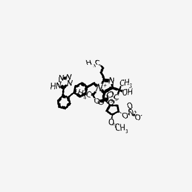 CCCC1=NC(C(C)(C)O)=C(C(=O)[O-])[N+]1(Cc1ccc(-c2ccccc2-c2nnn[nH]2)cc1)C(C)OC(=O)[C@@H]1C[C@H](OC)[C@@H](O[N+](=O)[O-])C1